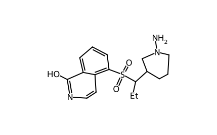 CCC(C1CCCN(N)C1)S(=O)(=O)c1cccc2c(O)nccc12